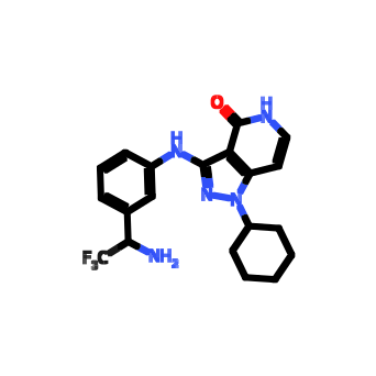 NC(c1cccc(Nc2nn(C3CCCCC3)c3cc[nH]c(=O)c23)c1)C(F)(F)F